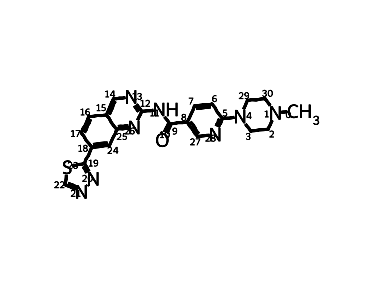 CN1CCN(c2ccc(C(=O)Nc3ncc4ccc(-c5nncs5)cc4n3)cn2)CC1